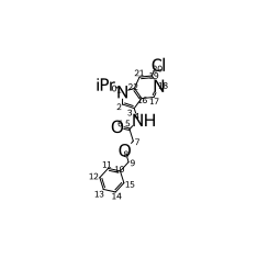 CC(C)n1cc(NC(=O)COCc2ccccc2)c2cnc(Cl)cc21